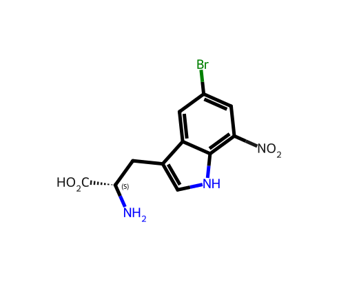 N[C@@H](Cc1c[nH]c2c([N+](=O)[O-])cc(Br)cc12)C(=O)O